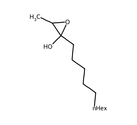 CCCCCCCCCCCC1(O)OC1C